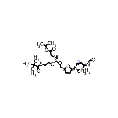 CC(C)OC(=O)CNP(OCCSC(=O)C(C)(C)C)OC[C@@H]1CC[C@H](N(C)/C=C\C(N)=N/C=O)O1